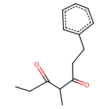 CCC(=O)C(C)C(=O)CCc1ccccc1